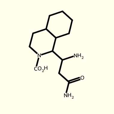 NC(=O)CC(N)C1C2CCCCC2CCN1C(=O)O